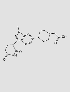 Cn1nc(C2CCC(=O)NC2=O)c2ccc([C@H]3CC[C@H](CC(=O)O)CC3)cc21